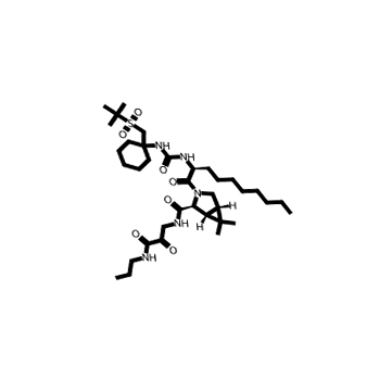 CCCCCCCC[C@H](NC(=O)NC1(CS(=O)(=O)C(C)(C)C)CCCCC1)C(=O)N1C[C@H]2[C@@H]([C@H]1C(=O)NCC(=O)C(=O)NCCC)C2(C)C